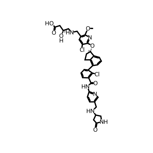 COc1nc(O[C@H]2CCc3c(-c4cccc(C(=O)Nc5ccc(CNC6CNC(=O)C6)cn5)c4Cl)cccc32)c(Cl)cc1CNC[C@@H](O)CC(=O)O